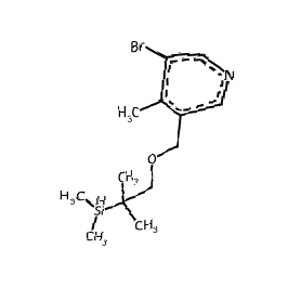 Cc1c(Br)cncc1COCC(C)(C)[SiH](C)C